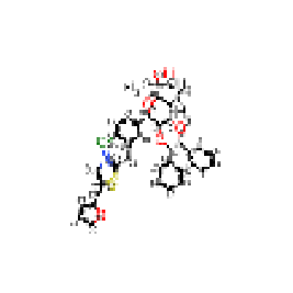 C[C@H]1[C@H](OCc2ccccc2)[C@@H](OCc2ccccc2)[C@H](c2ccc(Cl)c(Cc3ncc(-c4ccco4)s3)c2)O[C@@H]1C(C)(C)O